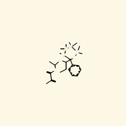 C=C(C)C(=O)OC(C)OC(CC)C1(c2ccccc2)O[Si](C)(C)[Si](C)(C)[Si](C)(C)[Si]1(C)C